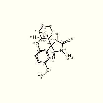 COc1ccc2c(c1)[C@]1(NC(=O)N(C)C1=O)[C@@]1(C)OCCC[C@@H]1O2